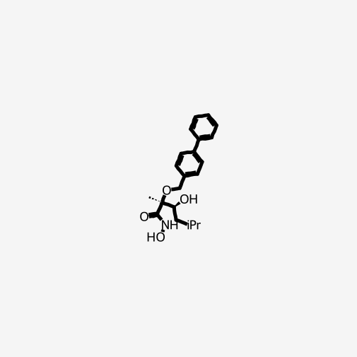 CC(C)C[C@H](O)[C@](C)(OCc1ccc(-c2ccccc2)cc1)C(=O)NO